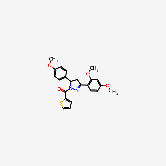 COc1ccc(C2CC(c3ccc(OC)cc3OC)=NN2C(=O)c2cccs2)cc1